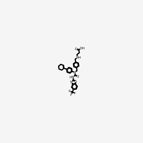 O=C(O)CCNCc1ccc(CN(C(=O)Nc2nc3cc(C(F)(F)F)ccc3s2)c2ccc(C3=CCCCC3)cc2)cc1